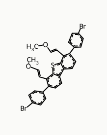 COC=Cc1c(-c2ccc(Br)cc2)ccc2c1sc1c(C=COC)c(-c3ccc(Br)cc3)ccc12